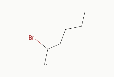 [CH2]C(Br)CCCC